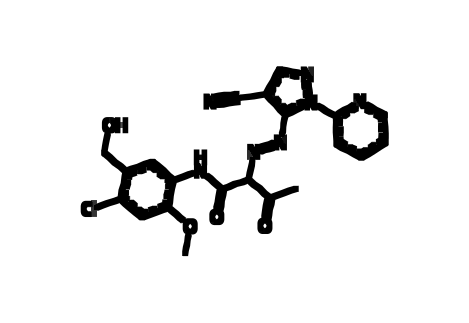 COc1cc(Cl)c(CO)cc1NC(=O)C(N=Nc1c(C#N)cnn1-c1ccccn1)C(C)=O